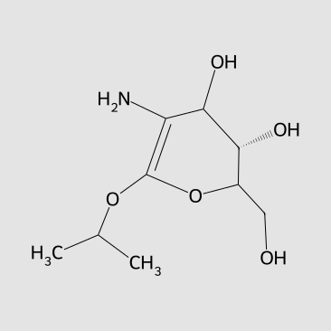 CC(C)OC1=C(N)C(O)[C@H](O)C(CO)O1